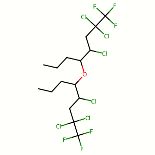 CCCC(OC(CCC)C(Cl)CC(Cl)(Cl)C(F)(F)F)C(Cl)CC(Cl)(Cl)C(F)(F)F